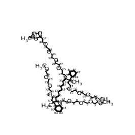 COCCOCCOCCOCC[N+]1=C(/C=C/C=C/C=C/C=C2/N(CCOCCOCCOCCOCCC(=O)ON(C)C)c3ccccc3C2(C)CCOCCOCCOCCOC)C(C)(CCOCCOCCOCCOC)c2ccccc21